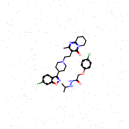 CC(C)NNC(=O)COc1ccc(Cl)cc1.Cc1nc2n(c(=O)c1CCN1CCC(c3noc4cc(F)ccc34)CC1)CCCC2